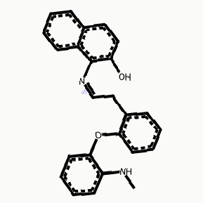 CNc1ccccc1Oc1ccccc1C/C=N\c1c(O)ccc2ccccc12